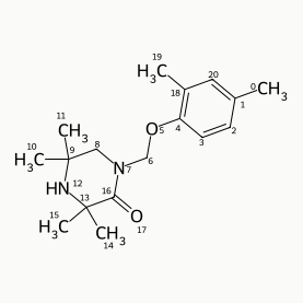 Cc1ccc(OCN2CC(C)(C)NC(C)(C)C2=O)c(C)c1